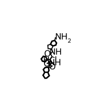 Cl.NCc1ccc2c(c1)CCC2NC(=O)CC(NS(=O)(=O)c1ccc2ccccc2c1)c1ccccc1